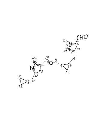 Cn1nc(CC2CC2COCc2cc(CC3CC3)nn2C)cc1C=O